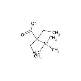 CCC(CC)(C(=O)[O-])[N+](C)(C)C